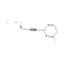 O/N=C/C#Cc1cccc(Cl)c1